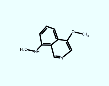 CNc1cccc2c(OC)cncc12